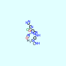 CN(c1ccc(Nc2ncc3cc(-c4ncc(-c5cncnc5)cc4Cl)c(=O)n(CCN4CCOCC4)c3n2)cc1)C1CCCNC1